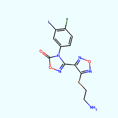 NCCSc1nonc1-c1noc(=O)n1-c1ccc(F)c(I)c1